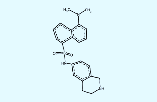 CN(C)c1cccc2c(S(=O)(=O)Nc3ccc4c(c3)CCNC4)cccc12